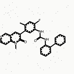 Cc1cc(F)c(NC(=O)Nc2ccccc2-c2ccccc2)cc1-c1cc2cnccc2n(C)c1=O